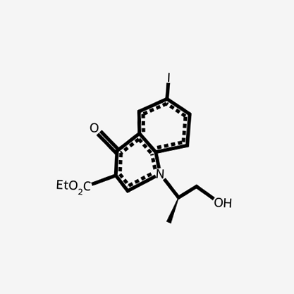 CCOC(=O)c1cn([C@H](C)CO)c2ccc(I)cc2c1=O